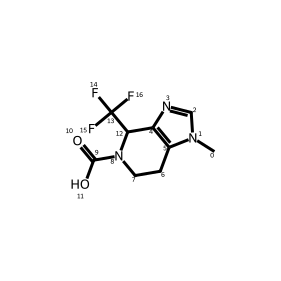 Cn1cnc2c1CCN(C(=O)O)C2C(F)(F)F